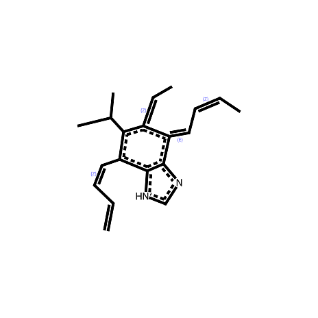 C=C/C=C\c1c(C(C)C)c(=C/C)/c(=C\C=C/C)c2nc[nH]c12